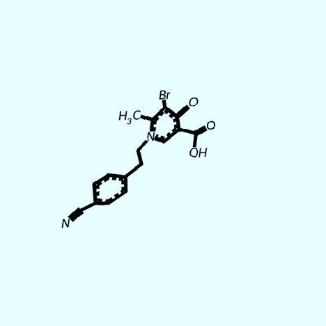 Cc1c(Br)c(=O)c(C(=O)O)cn1CCc1ccc(C#N)cc1